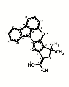 CC1(C)CC(=C(C#N)C#N)c2sc3c(c21)Oc1cccc2c4ccccc4n-3c12